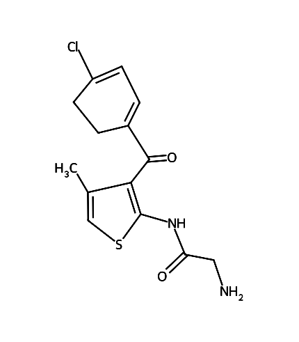 Cc1csc(NC(=O)CN)c1C(=O)C1=CC=C(Cl)CC1